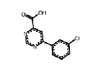 O=C(O)c1cc(-c2cccc(Cl)c2)ncn1